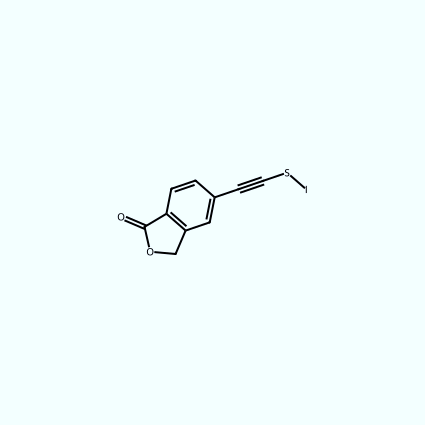 O=C1OCc2cc(C#CSI)ccc21